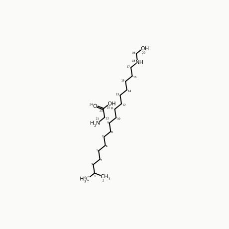 CC(C)CCCCCCCCCCCCCCCNCO.NCC(=O)O